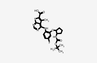 Cc1c(C(=O)O)sc2ncnc(Nc3ccc(F)cc3OC3CCCC3NC(=O)OC(C)(C)C)c12